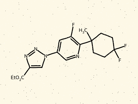 CCOC(=O)c1cn(-c2cnc(C3(C)CCC(F)(F)CC3)c(F)c2)nn1